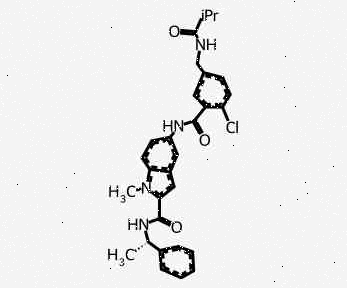 CC(C)C(=O)NCc1ccc(Cl)c(C(=O)Nc2ccc3c(c2)cc(C(=O)N[C@@H](C)c2ccccc2)n3C)c1